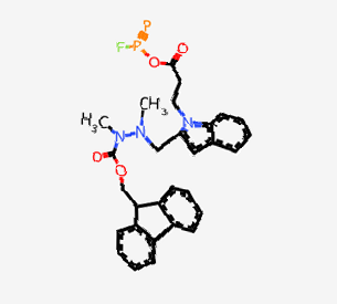 CN(Cc1cc2ccccc2n1CCC(=O)OP(F)#P)N(C)C(=O)OCC1c2ccccc2-c2ccccc21